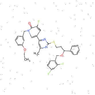 CCOc1cccc(Cn2cc(-c3cc(C)nc(SCCC(OCc4ccc(F)cc4F)c4ccccc4)n3)cc(F)c2=O)c1